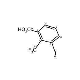 O=C(O)c1cccc(I)c1C(F)(F)F